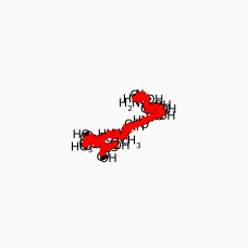 C\C(=C/C=C/C(CCCS(=O)(=O)O)=N\CCCS(=O)(=O)O)N(CCCCCC(=O)NC1CCN(c2nc(C)nc(N3CCC(C(=O)NCCCCCC(=O)NCCCCCCOP(=O)(O)OP(=O)(O)OP(=O)(O)OP(=O)(O)OP(=O)(O)OP(=O)(O)OC[C@H]4O[C@@H](n5cnc6c(=O)[nH]c(N)nc65)C[C@H]4O)CC3)n2)CC1)c1ccc2c(S(=O)(=O)O)cc(S(=O)(=O)O)cc2c1C